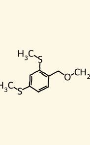 [CH2]OCc1ccc(SC)cc1SC